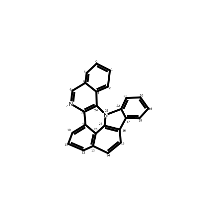 c1ccc2c(c1)cnc1c3cccc4ccc5c6ccccc6n(c21)c5c43